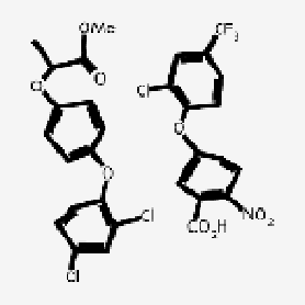 COC(=O)C(C)Oc1ccc(Oc2ccc(Cl)cc2Cl)cc1.O=C(O)c1cc(Oc2ccc(C(F)(F)F)cc2Cl)ccc1[N+](=O)[O-]